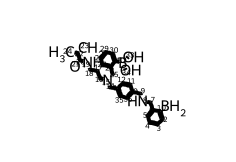 Bc1ccccc1CNCc1ccc(CN(CCCNC(=O)C(=C)C)Cc2ccccc2B(O)O)cc1